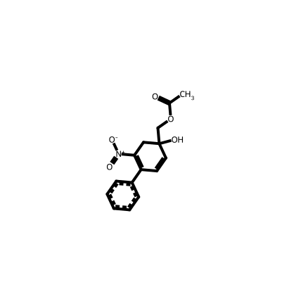 CC(=O)OCC1(O)C=CC(c2ccccc2)=C([N+](=O)[O-])C1